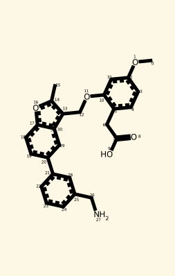 COc1ccc(CC(=O)O)c(OCc2c(C)oc3ccc(-c4cccc(CN)c4)cc23)c1